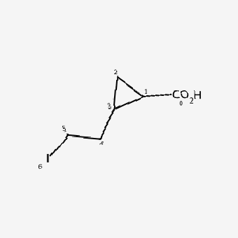 O=C(O)C1CC1CCI